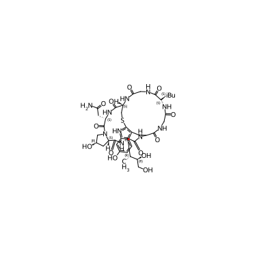 CC[C@H](C)[C@@H]1NC(=O)CNC(=O)C2Cc3c([nH]c4cc(O)ccc34)SC[C@@H](NC(=O)CNC1=O)C(=O)N[C@@H](CC(N)=O)C(=O)N1C[C@H](O)C[C@H]1C(=O)N[C@@H]([C@@H](C)[C@@H](O)CO)C(=O)N2